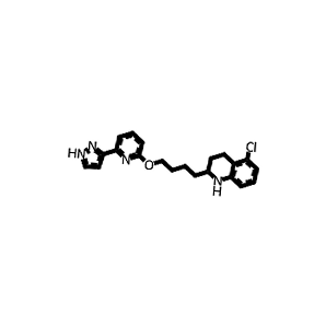 Clc1cccc2c1CCC(CCCCOc1cccc(-c3cc[nH]n3)n1)N2